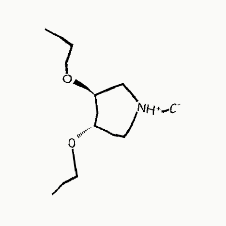 [CH2-][NH+]1C[C@H](OCC)[C@@H](OCC)C1